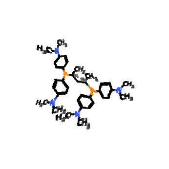 C[C@@H](C[C@H](C)P(c1ccc(N(C)C)cc1)c1ccc(N(C)C)cc1)P(c1ccc(N(C)C)cc1)c1ccc(N(C)C)cc1